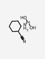 N.N#CC1CCCCC1.[OH][Pt][OH]